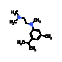 Cc1cc(C(C)C)cc(N(C)CCN(C)C)c1